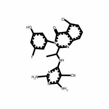 CC(Nc1nc(N)nc(N)c1C#N)c1nc2cccc(Cl)c2c(=O)n1-c1cc(O)cc(F)c1